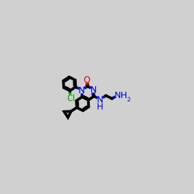 NCCNc1nc(=O)n(-c2ccccc2Cl)c2cc(C3CC3)ccc12